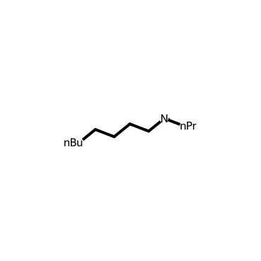 CCCCCCCC[N]CCC